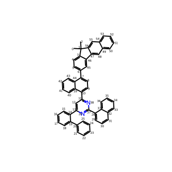 CC1(C)c2ccc(-c3ccc(-c4cc(-c5ccccc5-c5ccccc5)nc(-c5cccc6ccccc56)n4)c4ccccc34)cc2-c2cc3ccccc3cc21